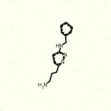 NCCCc1ccc(NCc2ccccc2)nn1